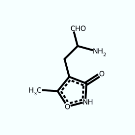 Cc1o[nH]c(=O)c1CC(N)C=O